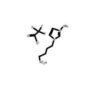 CCCC[n+]1ccn(CCCCS(=O)(=O)O)c1.O=C([O-])C(F)(F)F